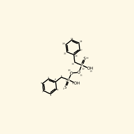 OP(=S)(Cc1ccccc1)OOP(O)(=S)Cc1ccccc1